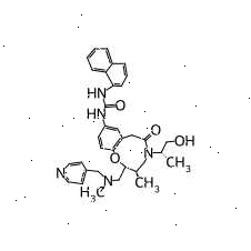 C[C@@H]1CN([C@@H](C)CO)C(=O)Cc2cc(NC(=O)Nc3cccc4ccccc34)ccc2OC1CN(C)Cc1ccncc1